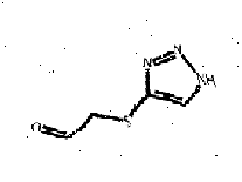 O=CCSc1c[nH]nn1